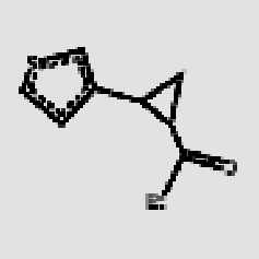 CCC(=O)C1CC1c1ccsc1